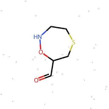 O=[C]C1CSCCNO1